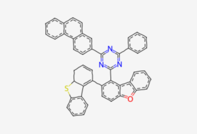 C1=CC(c2ccc3oc4ccccc4c3c2-c2nc(-c3ccccc3)nc(-c3ccc4c(ccc5ccccc54)c3)n2)=C2c3ccccc3SC2C1